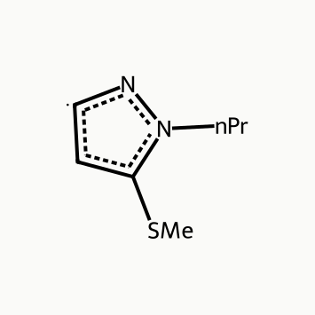 CCCn1n[c]cc1SC